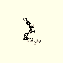 Cc1nc(-c2ccc(Cl)cc2)sc1C(=O)CNC1CCCN(c2cccc(C(=O)O)c2)C1